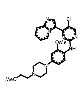 COCCN1CCN(c2ccc(Nc3ncc(Cl)c(-c4cnc5ccccn45)n3)c(OC)c2)CC1